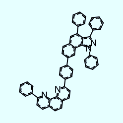 c1ccc(-c2ccc3ccc4ccc(-c5ccc(-c6ccc7cc(-c8ccccc8)c8c(-c9ccccc9)nn(-c9ccccc9)c8c7c6)cc5)nc4c3n2)cc1